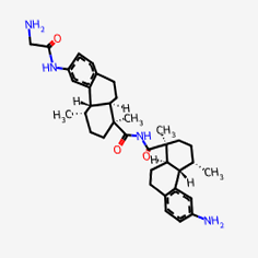 C[C@H]1CC[C@](C)(C(=O)NC(=O)[C@@]2(C)CC[C@H](C)[C@@H]3c4cc(NC(=O)CN)ccc4CC[C@H]32)[C@@H]2CCc3ccc(N)cc3[C@H]21